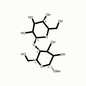 CO[C@@H]1O[C@@H](CO)[C@@H](O[C@@H]2OC(CO)[C@H](O)C(O)C2O)C(O)C1O